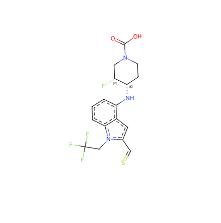 O=C(O)N1CC[C@H](Nc2cccc3c2cc(C=S)n3CC(F)(F)F)[C@H](F)C1